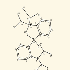 CC(C)P(c1ccccc1S(C)(C)c1ccccc1[PH](C)(C(C)C)C(C)C)C(C)C